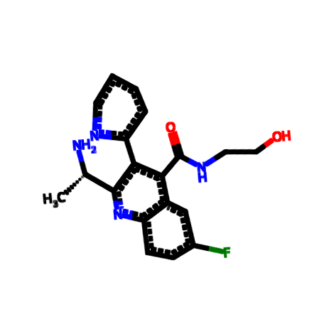 C[C@H](N)c1nc2ccc(F)cc2c(C(=O)NCCO)c1-c1ccccn1